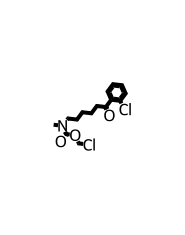 CN(CCCCCC(=O)c1ccccc1Cl)C(=O)OCCl